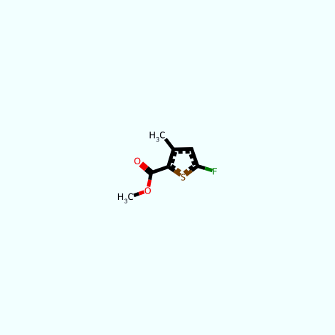 COC(=O)c1sc(F)cc1C